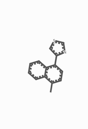 Cc1ccc(-c2cs[c]n2)c2ccccc12